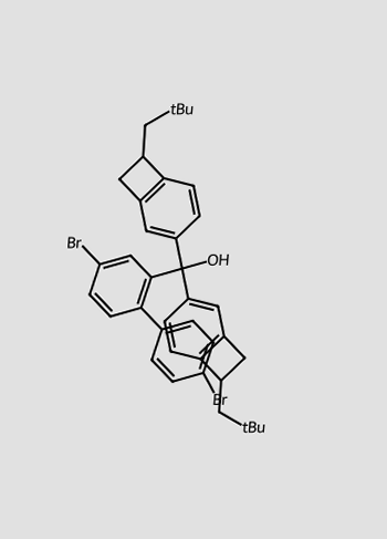 CC(C)(C)CC1Cc2cc(C(O)(c3ccc4c(c3)CC4CC(C)(C)C)c3cc(Br)ccc3-c3ccc(Br)cc3)ccc21